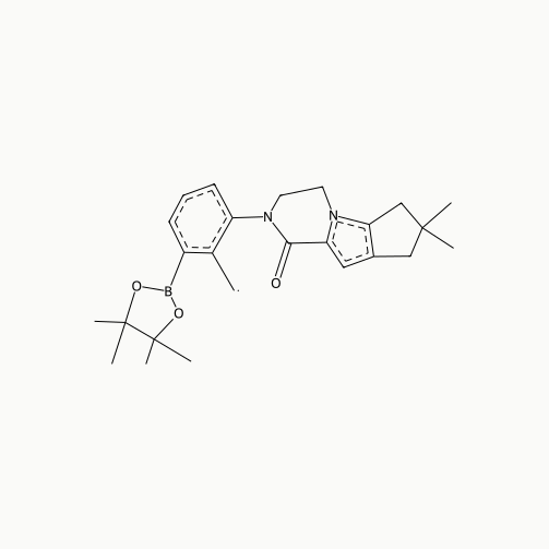 [CH2]c1c(B2OC(C)(C)C(C)(C)O2)cccc1N1CCn2c(cc3c2CC(C)(C)C3)C1=O